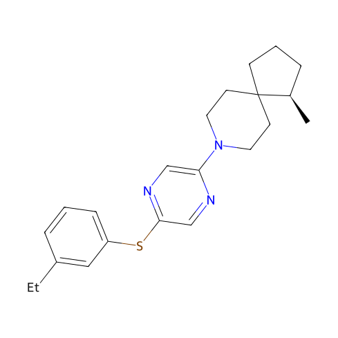 CCc1cccc(Sc2cnc(N3CCC4(CCC[C@H]4C)CC3)cn2)c1